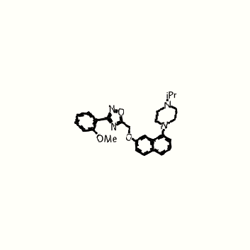 COc1ccccc1-c1noc(COc2ccc3cccc(N4CCN(C(C)C)CC4)c3c2)n1